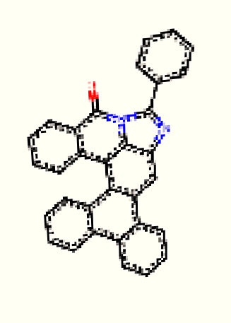 O=c1c2ccccc2c2c3c4ccccc4c4ccccc4c3cc3nc(-c4ccccc4)n1c32